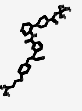 CN(C)CCOc1ccc(CN(C=O)c2cccc(C(=O)Nc3cnccc3N3CCN(C(=O)OC(C)(C)C)CC3)n2)cc1